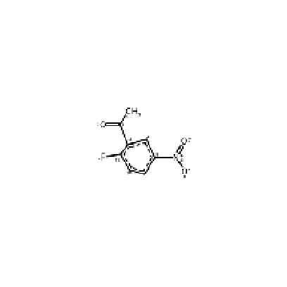 CC(=O)c1cc([N+](=O)[O-])ccc1F